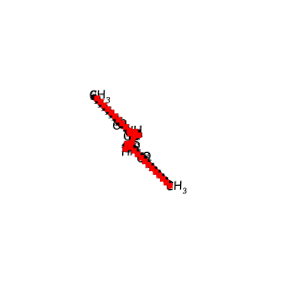 CCCCCCCCCCCCCCCC(=O)OCCCNC(=O)c1ccccc1SSc1ccccc1C(=O)NCCCOC(=O)CCCCCCCCCCCCCCC